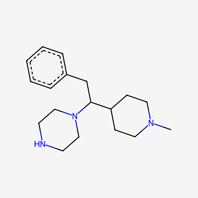 CN1CCC(C(Cc2ccccc2)N2CCNCC2)CC1